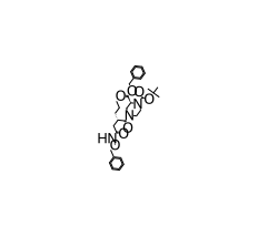 CCC[C@@H](CC(=O)NOCc1ccccc1)C(=O)N1CCN(C(=O)OC(C)(C)C)[C@H](C(=O)OCc2ccccc2)C1